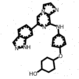 OC1CCC(Oc2ccc(Nc3nc(-c4ccc5cn[nH]c5c4)cn4ccnc34)cc2)CC1